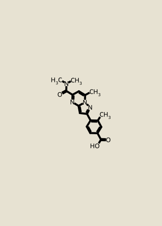 Cc1cc(C(=O)O)ccc1-c1cc2nc(C(=O)N(C)C)cc(C)n2n1